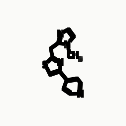 Cn1ccnc1Cc1nc(-c2ccncc2)cs1